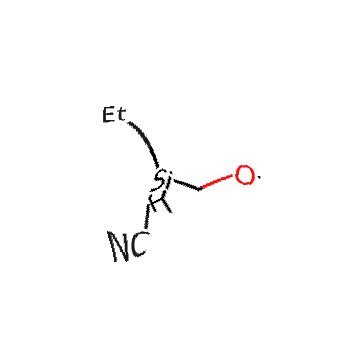 CC[SiH]([O])C#N